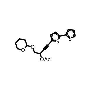 CC(=O)OC(C#Cc1ccc(-c2cccs2)s1)COC1CCCCO1